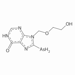 O=c1[nH]cnc2c1nc([AsH2])n2COCCO